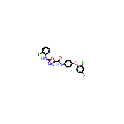 O=C(Nc1ccc(Oc2ccc(F)cc2F)cc1)c1nnc(Nc2ccccc2F)o1